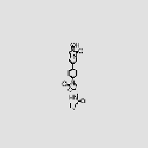 CC(=O)NC[C@H]1CN(c2ccc(C3=Cc4cn(O)c(=O)n4C3)cc2)C(=O)O1